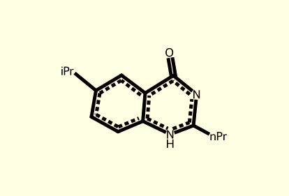 CCCc1nc(=O)c2cc(C(C)C)ccc2[nH]1